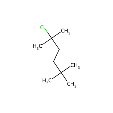 CC(C)(C)CCC(C)(C)Cl